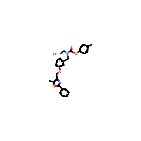 Cc1ccc(OC(=O)N(CC(=O)O)Cc2cccc(OCc3nc(-c4ccccc4)oc3C)c2)cc1